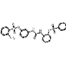 Cc1ccccc1S(=O)(=O)Oc1cccc(NC(=O)Nc2ccccc2OS(=O)(=O)c2ccccc2)c1